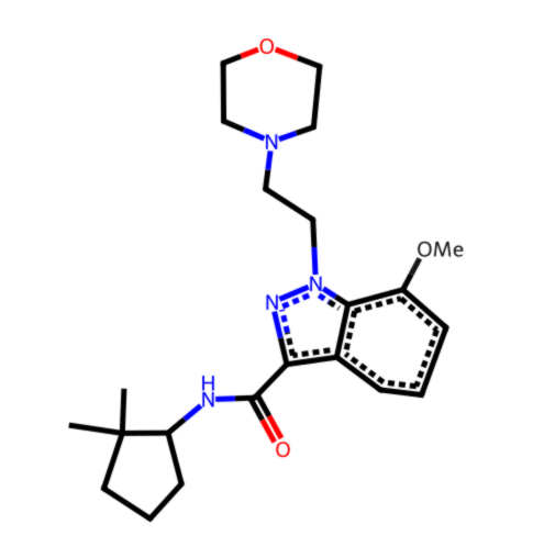 COc1cccc2c(C(=O)NC3CCCC3(C)C)nn(CCN3CCOCC3)c12